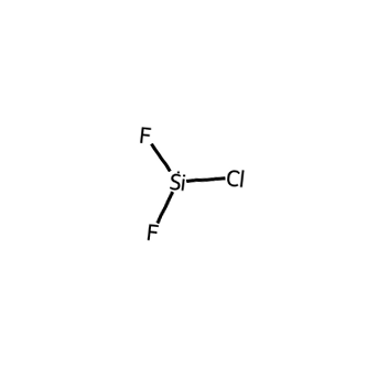 F[Si](F)Cl